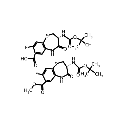 CC(C)(C)OC(=O)N[C@H]1CSc2cc(F)c(C(=O)O)cc2NC1=O.COC(=O)c1cc2c(cc1F)SC[C@H](NC(=O)OC(C)(C)C)C(=O)N2